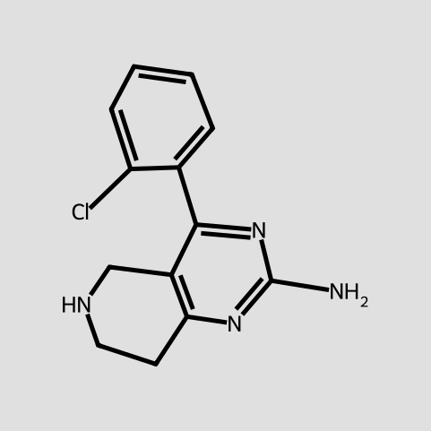 Nc1nc2c(c(-c3ccccc3Cl)n1)CNCC2